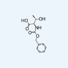 C[C@@H](O)[C@@H](NC(=O)OCc1ccccc1)C(=O)O